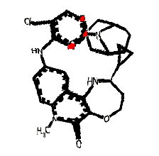 Cn1c(=O)c2c(c3cc(Nc4nc(N5C6CCC5CS(=O)(=O)C6)ncc4Cl)ccc31)N[C@@H](C1CC1)CCO2